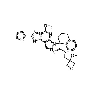 Nc1nc2c(cnn2C2(C(=O)NCC3(O)COC3)CCCc3ccccc32)c2nc(-c3ccco3)nn12